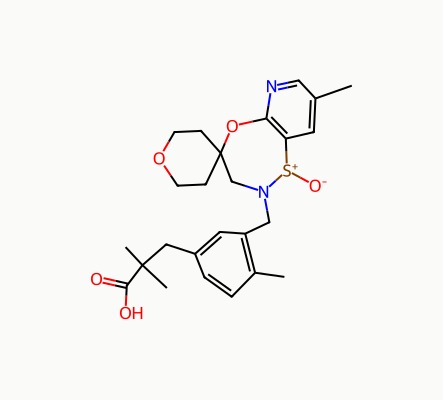 Cc1cnc2c(c1)[S+]([O-])N(Cc1cc(CC(C)(C)C(=O)O)ccc1C)CC1(CCOCC1)O2